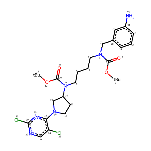 CC(C)(C)OC(=O)N(CCCCN(C(=O)OC(C)(C)C)C1CCN(c2nc(Cl)ncc2Cl)C1)Cc1cccc(N)c1